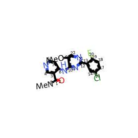 CNC(=O)c1cnccc1Nc1nc(-c2cc(Cl)ccc2F)ncc1OC